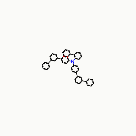 c1ccc(-c2cccc(-c3ccc(N(c4ccc(-c5cccc(-c6ccccc6)c5)cc4)c4ccccc4-c4ccccc4)cc3)c2)cc1